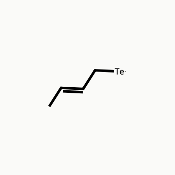 CC=CC[Te]